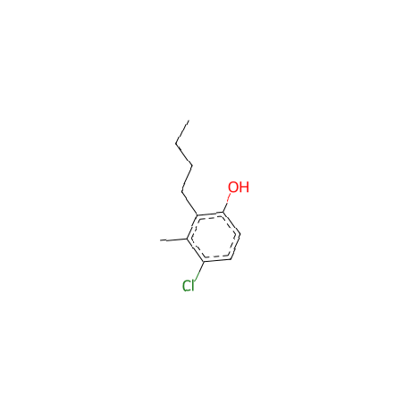 CCCCc1c(O)ccc(Cl)c1C